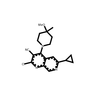 COC1(C)CCN(c2c(C#N)c(Cl)nc3cnc(C4CC4)cc23)CC1